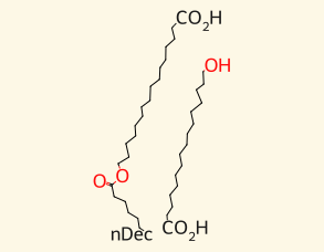 CCCCCCCCCCCCCCCC(=O)OCCCCCCCCCCCCCCCC(=O)O.O=C(O)CCCCCCCCCCCCCCCO